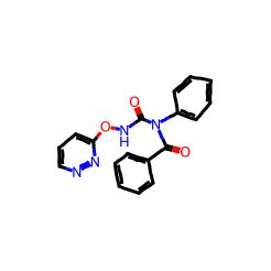 O=C(NOc1cccnn1)N(C(=O)c1ccccc1)c1ccccc1